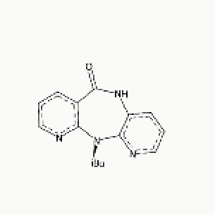 CC[C@H](C)N1c2ncccc2NC(=O)c2cccnc21